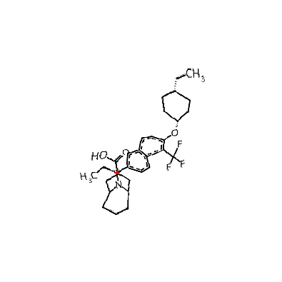 CC[C@@H](c1ccc2c(C(F)(F)F)c(O[C@H]3CC[C@@H](CC)CC3)ccc2c1)N1C2CCCC1CC(C(=O)O)C2